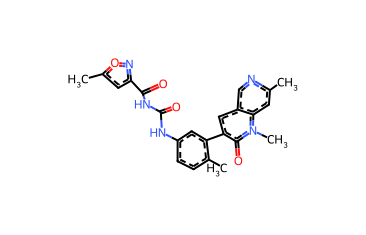 Cc1cc2c(cn1)cc(-c1cc(NC(=O)NC(=O)c3cc(C)on3)ccc1C)c(=O)n2C